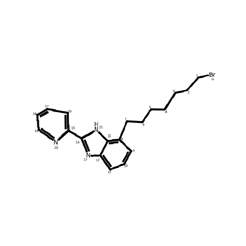 BrCCCCCCCc1cccc2nc(-c3ccccn3)[nH]c12